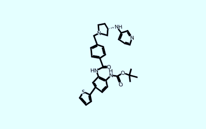 CC(C)(C)OC(=O)Nc1ccc(-c2cccs2)cc1NC(=O)c1ccc(CN2CC[C@H](Nc3cccnc3)C2)cc1